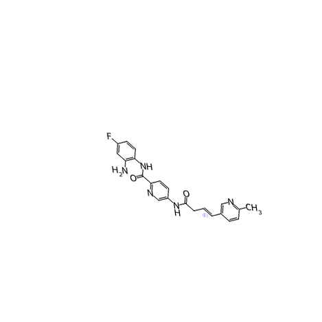 Cc1ccc(/C=C/CC(=O)Nc2ccc(C(=O)Nc3ccc(F)cc3N)nc2)cn1